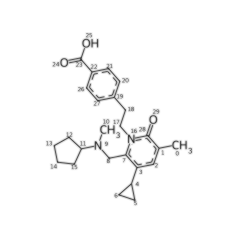 Cc1cc(C2CC2)c(CN(C)C2CCCC2)n(CCc2ccc(C(=O)O)cc2)c1=O